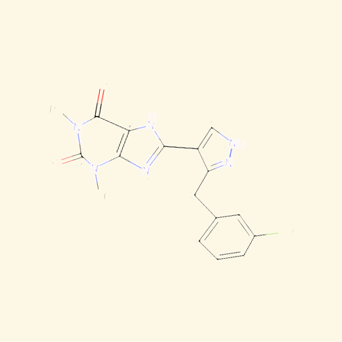 CCC(C)n1c(=O)c2[nH]c(-c3c[nH]nc3Cc3cccc(F)c3)nc2n(CC)c1=O